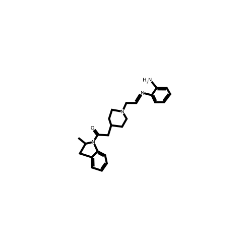 CC1Cc2ccccc2N1C(=O)CC1CCN(C/C=N/c2ccccc2N)CC1